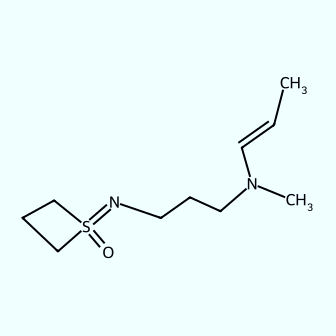 C/C=C/N(C)CCCN=S1(=O)CCC1